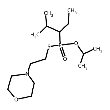 CCC(C(C)C)P(=O)(OC(C)C)SCCN1CCOCC1